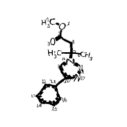 COC(=O)CC(C)(C)n1cc(-c2ccccc2)nn1